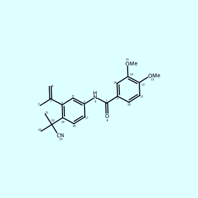 C=C(C)c1cc(NC(=O)c2ccc(OC)c(OC)c2)ccc1C(C)(C)C#N